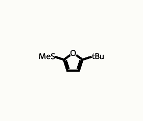 CSc1ccc(C(C)(C)C)o1